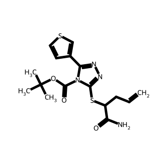 C=CCC(Sc1nnc(-c2ccsc2)n1C(=O)OC(C)(C)C)C(N)=O